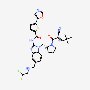 CC(C)(C)/C=C(\C#N)C(=O)N1CCC[C@@H]1Cn1c(NC(=O)c2ccc(-c3cnco3)s2)nc2cc(CNCC(F)F)ccc21